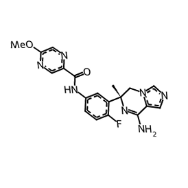 COc1cnc(C(=O)Nc2ccc(F)c([C@]3(C)Cn4cncc4C(N)=N3)c2)cn1